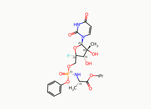 CC(C)OC(=O)[C@H](C)N[P@](=O)(OC[C@@]1(F)O[C@@H](n2ccc(=O)[nH]c2=O)[C@](C)(O)[C@@H]1O)Oc1ccccc1